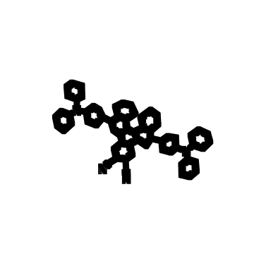 N#Cc1cc2c(cc1C#N)c1cc(-c3ccc(N(c4ccccc4)c4ccccc4)cc3)c3ccccc3c1c1c3ccccc3c(-c3ccc(N(c4ccccc4)c4ccccc4)cc3)cc21